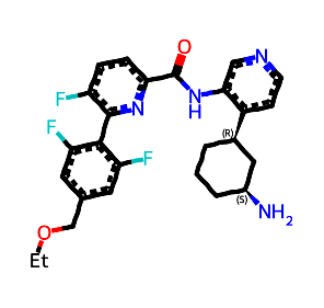 CCOCc1cc(F)c(-c2nc(C(=O)Nc3cnccc3[C@@H]3CCC[C@H](N)C3)ccc2F)c(F)c1